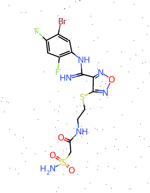 N=C(Nc1cc(Br)c(F)cc1F)c1nonc1SCCNC(=O)CS(N)(=O)=O